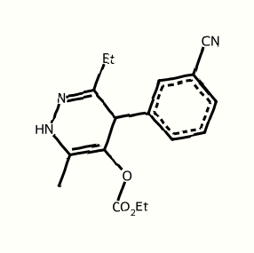 CCOC(=O)OC1=C(C)NN=C(CC)C1c1cccc(C#N)c1